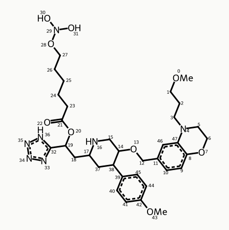 COCCCN1CCOc2ccc(COC3CNC(CC(OC(=O)CCCCCON(O)O)c4nnn[nH]4)CC3c3ccc(OC)cc3)cc21